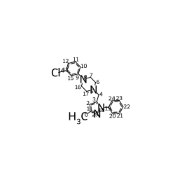 Cc1cc(CN2CCN(c3cccc(Cl)c3)CC2)n(-c2ccccc2)n1